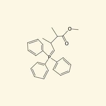 COC(=O)C(C)C(C)C=P(c1ccccc1)(c1ccccc1)c1ccccc1